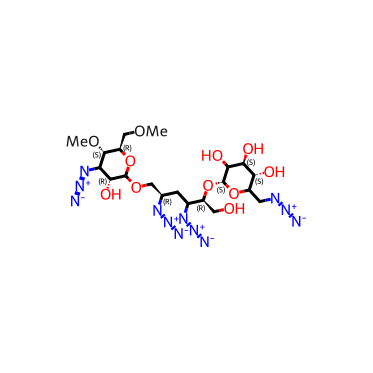 COC[C@H]1OC(OC[C@@H](CC(N=[N+]=[N-])[C@H](CO)O[C@H]2OC(CN=[N+]=[N-])[C@@H](O)[C@H](O)C2O)N=[N+]=[N-])[C@H](O)C(N=[N+]=[N-])[C@@H]1OC